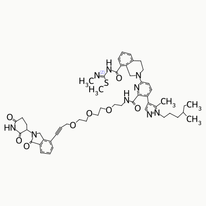 CCC(C)CCCn1ncc(-c2ccc(N3CCc4cccc(C(=O)N/C(=N/C)SC)c4C3)nc2C(=O)NCCOCCOCCOCC#Cc2cccc3c2CN(C2CCC(=O)NC2=O)C3=O)c1C